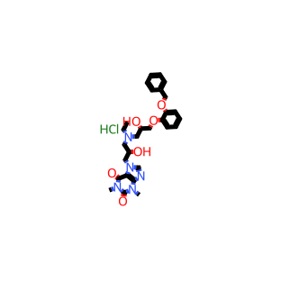 CCN(CC(O)COc1ccccc1OCc1ccccc1)CC(O)Cn1cnc2c1c(=O)n(C)c(=O)n2C.Cl